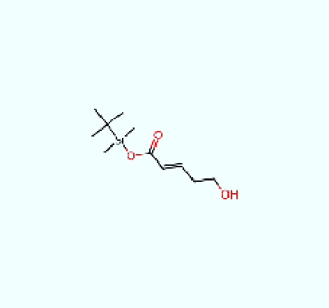 CC(C)(C)[Si](C)(C)OC(=O)C=CCCO